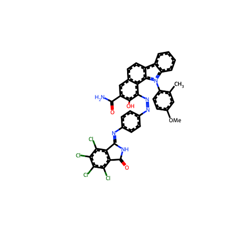 COc1ccc(-n2c3ccccc3c3ccc4cc(C(N)=O)c(O)c(N=Nc5ccc(N=C6NC(=O)c7c(Cl)c(Cl)c(Cl)c(Cl)c76)cc5)c4c32)c(C)c1